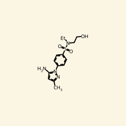 CCN(CCO)S(=O)(=O)c1ccc(-n2nc(C)cc2N)cc1